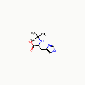 CC(C)(C)N[C@@H](Cc1c[nH]cn1)C(=O)O